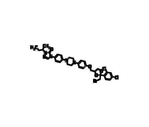 CCC(C)n1ncn(-c2ccc(N3CCN(c4ccc(OCC5COC(CBr)(c6ccc(Cl)cc6Cl)O5)cc4)CC3)cc2)c1=O